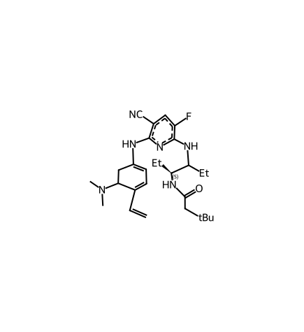 C=CC1=CC=C(Nc2nc(NC(CC)[C@H](CC)NC(=O)CC(C)(C)C)c(F)cc2C#N)CC1N(C)C